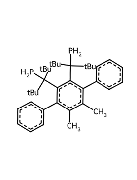 Cc1c(C)c(-c2ccccc2)c(C(P)(C(C)(C)C)C(C)(C)C)c(C(P)(C(C)(C)C)C(C)(C)C)c1-c1ccccc1